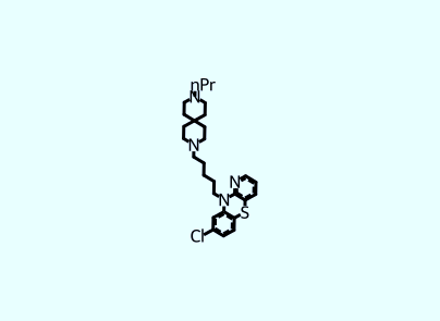 CCCN1CCC2(CC1)CCN(CCCCCN1c3cc(Cl)ccc3Sc3cccnc31)CC2